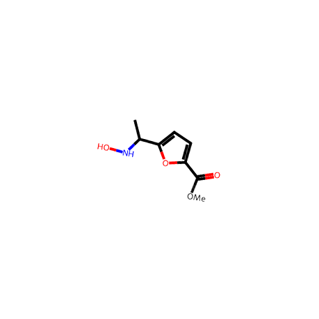 COC(=O)c1ccc(C(C)NO)o1